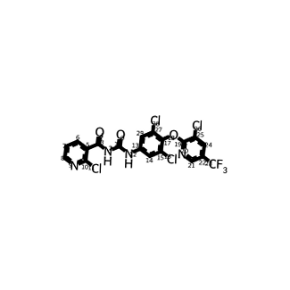 O=C(NC(=O)c1cccnc1Cl)Nc1cc(Cl)c(Oc2ncc(C(F)(F)F)cc2Cl)c(Cl)c1